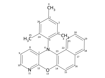 Cc1cc(C)c(N2c3cccnc3Oc3ccc4ccccc4c32)c(C)c1